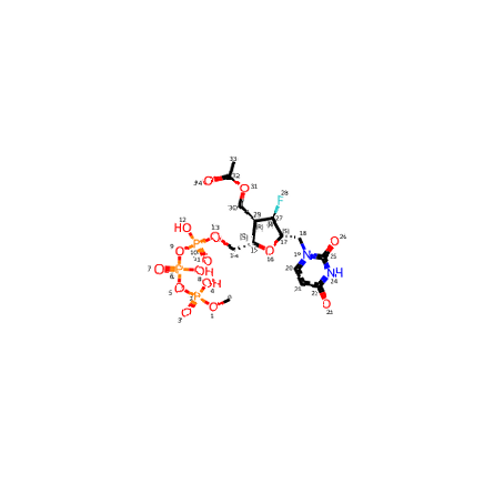 COP(=O)(O)OP(=O)(O)OP(=O)(O)OC[C@H]1O[C@@H](Cn2ccc(=O)[nH]c2=O)[C@H](F)[C@@H]1COC(C)=O